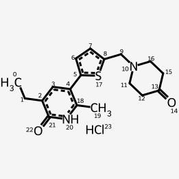 CCc1cc(-c2ccc(CN3CCC(=O)CC3)s2)c(C)[nH]c1=O.Cl